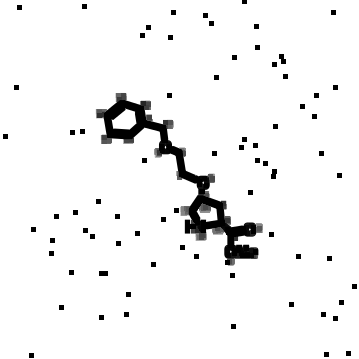 COC(=O)[C@@H]1C[C@@H](OCCOCc2ccccc2)CN1